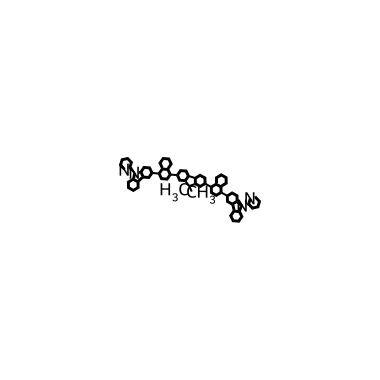 CC1(C)c2cc(-c3ccc(-c4ccc5c(c4)c4ccccc4n5-c4ccccn4)c4ccccc34)ccc2-c2ccc(-c3ccc(-c4ccc5c(c4)c4ccccc4n5-c4ccccn4)c4ccccc34)cc21